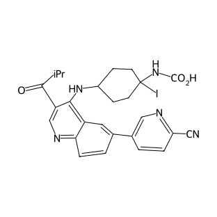 CC(C)C(=O)c1cnc2ccc(-c3ccc(C#N)nc3)cc2c1NC1CCC(I)(NC(=O)O)CC1